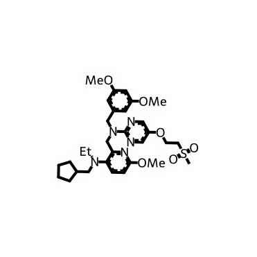 CCN(CC1CCCC1)c1ccc(OC)nc1CN(Cc1cc(OC)cc(OC)c1)c1ncc(OCCS(C)(=O)=O)cn1